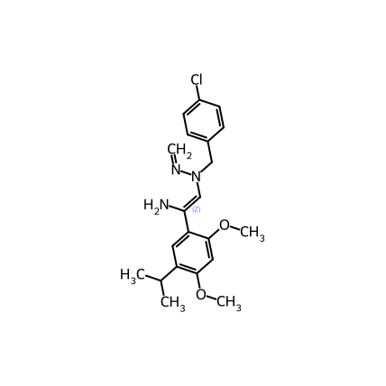 C=NN(/C=C(\N)c1cc(C(C)C)c(OC)cc1OC)Cc1ccc(Cl)cc1